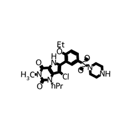 CCCn1c(=O)n(C)c(=O)c2[nH]c(-c3cc(S(=O)(=O)N4CCNCC4)ccc3OCC)c(Cl)c21